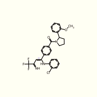 COc1ccccc1C1CCCN1C(=O)c1ccc(/C(=C/C(=N)C(F)(F)F)Nc2ccccc2Cl)cc1